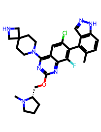 Cc1ccc2[nH]ncc2c1-c1c(Cl)cc2c(N3CCC4(CC3)CNC4)nc(OC[C@@H]3CCCN3C)nc2c1F